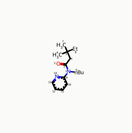 CCCCN(C(=O)CC(C)(C)CC)c1ccccn1